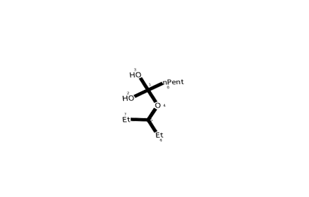 CCCCCC(O)(O)OC(CC)CC